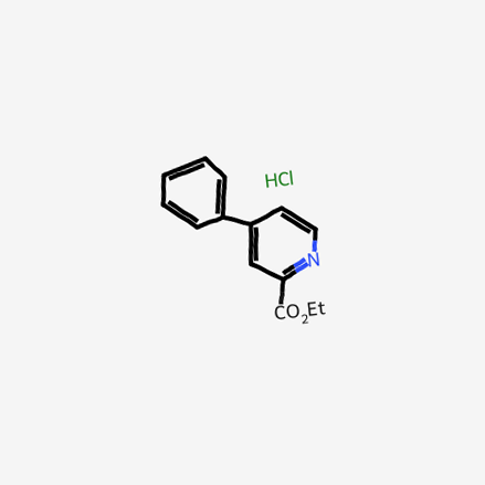 CCOC(=O)c1cc(-c2ccccc2)ccn1.Cl